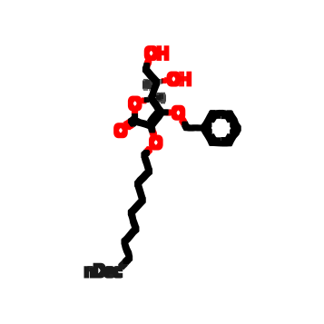 CCCCCCCCCCCCCCCCCCOC1=C(OCc2ccccc2)[C@@H]([C@@H](O)CO)OC1=O